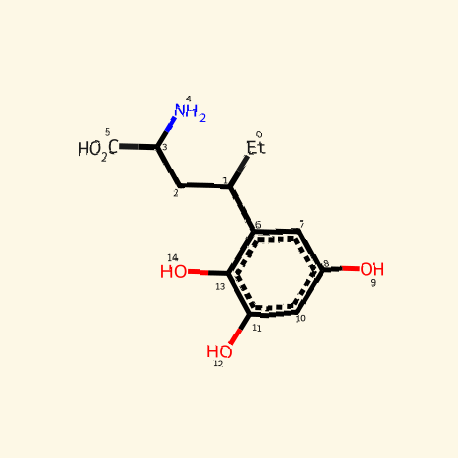 CCC(CC(N)C(=O)O)c1cc(O)cc(O)c1O